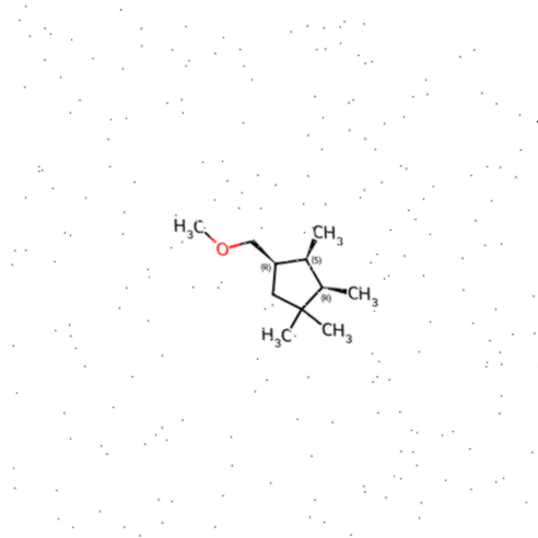 COC[C@@H]1CC(C)(C)[C@H](C)[C@@H]1C